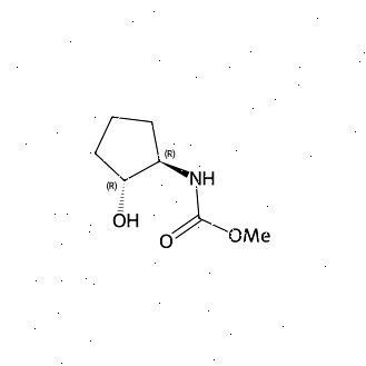 COC(=O)N[C@@H]1CCC[C@H]1O